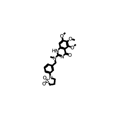 COc1cc2[nH]c(N(C)Cc3cccc(N4CCCS4(=O)=O)c3)nc(=O)c2c(OC)c1OC